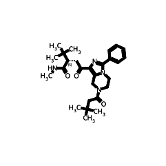 CNC(=O)[C@@H](CC(=O)c1nc(-c2ccccc2)n2c1CN(C(=O)CC(C)(C)C)CC2)C(C)(C)C